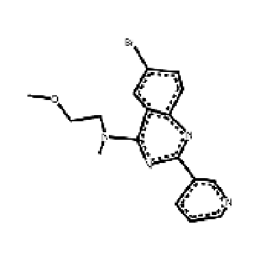 COCCN(C)c1nc(-c2cccnc2)nc2ccc(Br)cc12